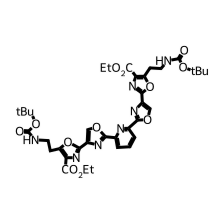 CCOC(=O)c1nc(-c2coc(-c3cccc(-c4nc(-c5nc(C(=O)OCC)c(CCNC(=O)OC(C)(C)C)o5)co4)n3)n2)oc1CCNC(=O)OC(C)(C)C